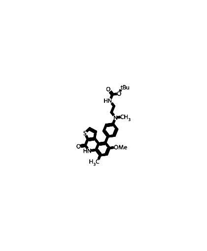 COc1cc(C)c2[nH]c(=O)c3sccc3c2c1-c1ccc(N(C)CCNC(=O)OC(C)(C)C)cc1